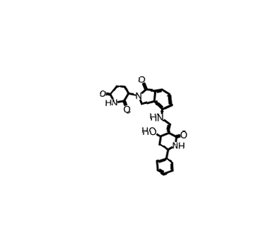 O=C1CCC(N2Cc3c(N/C=C4/C(=O)NC(c5ccccc5)CC4O)cccc3C2=O)C(=O)N1